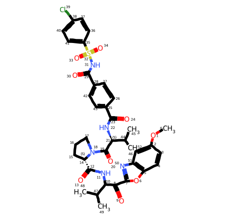 COc1ccc2oc(C(=O)C(NC(=O)[C@@H]3CCCN3C(=O)[C@@H](NC(=O)c3ccc(C(=O)NS(=O)(=O)c4ccc(Cl)cc4)cc3)C(C)C)C(C)C)nc2c1